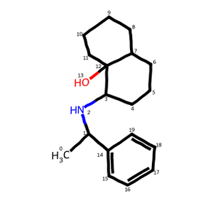 CC(NC1CCCC2CCCCC21O)c1ccccc1